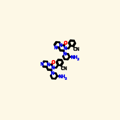 N#Cc1ccccc1CN1C(=O)N2CC=CN=C2C=C1N1CCCC(N)C1.N#Cc1ccccc1CN1C(=O)N2CC=NC=C2C=C1N1CCCC(N)C1